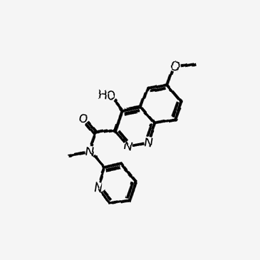 COc1ccc2nnc(C(=O)N(C)c3ccccn3)c(O)c2c1